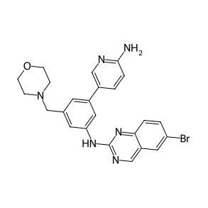 Nc1ccc(-c2cc(CN3CCOCC3)cc(Nc3ncc4cc(Br)ccc4n3)c2)cn1